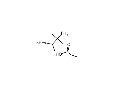 CCCCCCC(C)C(C)(C)P.O=S(O)O